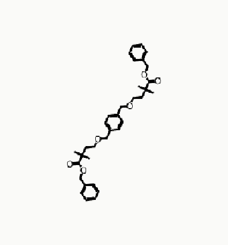 CC(C)(CCOCc1ccc(COCCC(C)(C)C(=O)OCc2ccccc2)cc1)C(=O)OCc1ccccc1